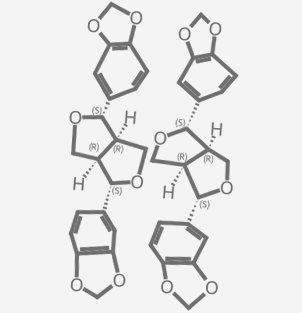 c1cc2c(cc1[C@H]1OC[C@H]3[C@@H]1CO[C@@H]3c1ccc3c(c1)OCO3)OCO2.c1cc2c(cc1[C@H]1OC[C@H]3[C@@H]1CO[C@@H]3c1ccc3c(c1)OCO3)OCO2